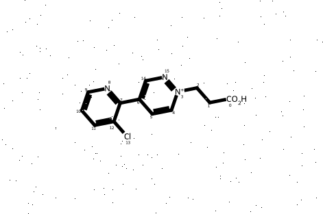 O=C(O)CC[n+]1ccc(-c2ncccc2Cl)cn1